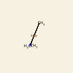 Br.CCCCCCCCCCCCCCCCCCC=CCN(C)C